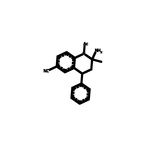 CC(=O)N1c2ccc(C#N)cc2C(c2ccccc2)CC1(C)N